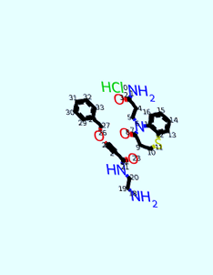 Cl.NC(=O)CCN1C(=O)CCSc2ccccc21.NCCNC(=O)C#COCc1ccccc1